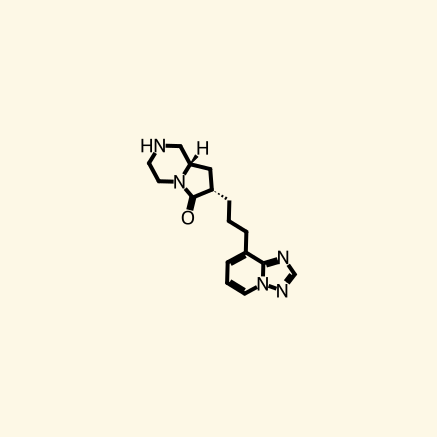 O=C1[C@@H](CCCc2cccn3ncnc23)C[C@H]2CNCCN12